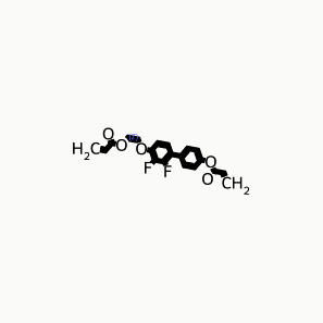 C=CC(=O)O/C=C\Oc1ccc(-c2ccc(OC(=O)C=C)cc2)c(F)c1F